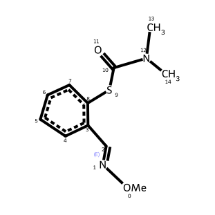 CO/N=C/c1ccccc1SC(=O)N(C)C